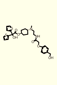 CN(CCNC(=O)COc1ccc(CO)cc1)[C@H]1CC[C@H](OC(=O)C(O)(c2cccs2)c2cccs2)CC1